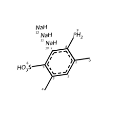 Cc1cc(C)c(S(=O)(=O)O)cc1P.[NaH].[NaH].[NaH]